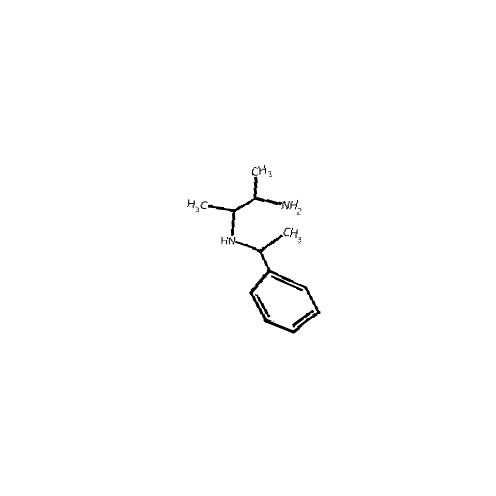 CC(NC(C)C(C)N)c1ccccc1